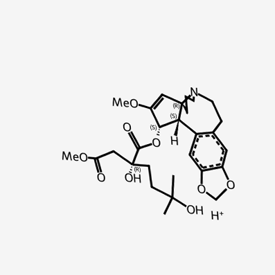 COC(=O)C[C@](O)(CCC(C)(C)O)C(=O)O[C@@H]1C(OC)=C[C@]23CCCN2CCc2cc4c(cc2[C@H]13)OCO4.[H+]